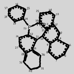 Pc1ccc2ccccc2c1-c1c(P(c2ccccc2)c2ccccc2)ccc2c1=CCCC=2